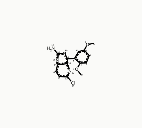 COc1ccc(OC)c(-c2nc(N)nc3ccc(Cl)nc23)c1